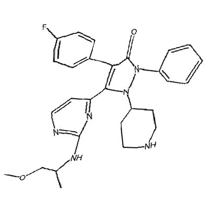 COCC(C)Nc1nccc(-c2c(-c3ccc(F)cc3)c(=O)n(-c3ccccc3)n2C2CCNCC2)n1